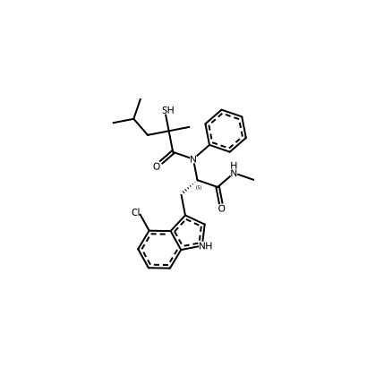 CNC(=O)[C@H](Cc1c[nH]c2cccc(Cl)c12)N(C(=O)C(C)(S)CC(C)C)c1ccccc1